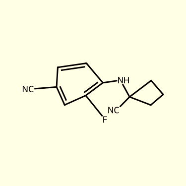 N#Cc1ccc(NC2(C#N)CCC2)c(F)c1